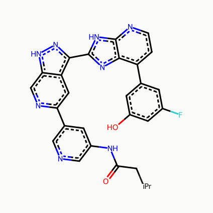 CC(C)CC(=O)Nc1cncc(-c2cc3c(-c4nc5c(-c6cc(O)cc(F)c6)ccnc5[nH]4)n[nH]c3cn2)c1